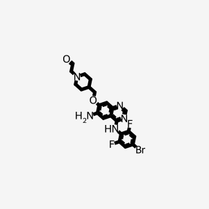 Nc1cc2c(Nc3c(F)cc(Br)cc3F)ncnc2cc1OCC1CCN(CC=O)CC1